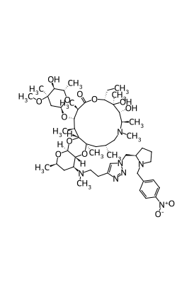 CC[C@H]1OC(=O)[C@H](C)[C@@H](O[C@H]2C[C@@](C)(OC)[C@@H](O)[C@H](C)O2)[C@H](C)[C@H]2O[C@@H]3O[C@H](C)C[C@H](N(C)CCc4cn(C[C@H]5CCCN5Cc5ccc([N+](=O)[O-])cc5)nn4)[C@H]3O[C@]2(C)C[C@@H](C)CN(C)[C@H](C)[C@@H](O)[C@]1(C)O